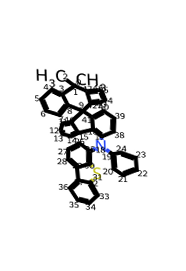 CC1(C)c2ccccc2C2(c3ccccc3-c3c(N(c4ccccc4)c4cccc5c4sc4ccccc45)cccc32)c2ccccc21